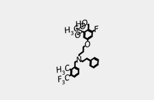 Cc1c(CN(CCCOc2cc(F)c(CO)c(S(C)(=O)=O)c2)CCc2ccccc2)cccc1C(F)(F)F